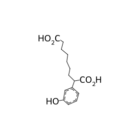 O=C(O)CCCCCCC(C(=O)O)c1cccc(O)c1